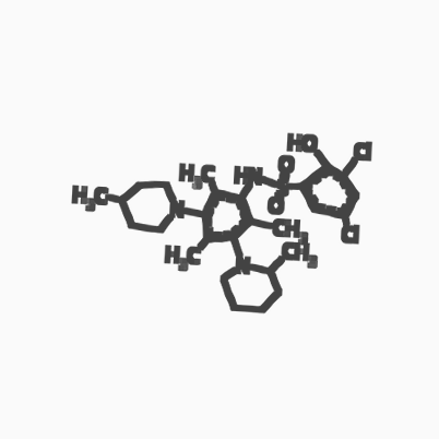 Cc1c(NS(=O)(=O)c2cc(Cl)cc(Cl)c2O)c(C)c(N2CCCCC2C)c(C)c1N1CCC(C)CC1